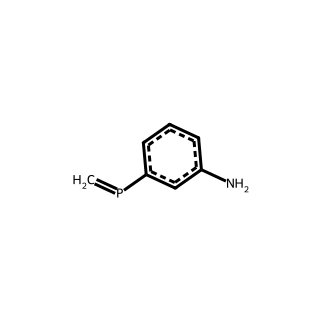 C=Pc1cccc(N)c1